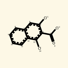 O=C(Cl)c1c(Cl)cc2ccccc2c1Cl